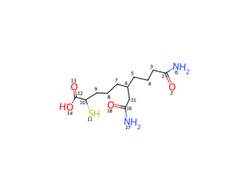 NC(=O)CCCC(CCCC(S)C(=O)O)CC(N)=O